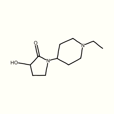 CCN1CCC(N2CCC(O)C2=O)CC1